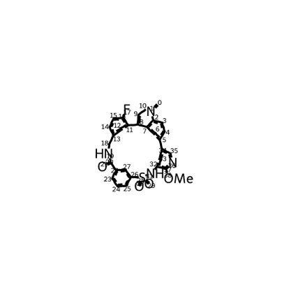 C=Nc1ccc2cc1/C(=C\C)c1cc(ccc1F)CNC(=O)c1cccc(c1)S(=O)(=O)Nc1cc-2cnc1OC